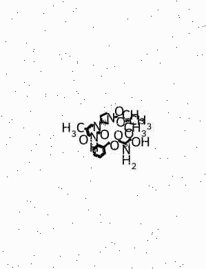 Cc1cn([C@@H]2CCN(C(=O)OC(C)(C)C)C2)c(=O)[nH]c1=O.N[C@@H](C(=O)O)C(=O)OCc1ccccc1